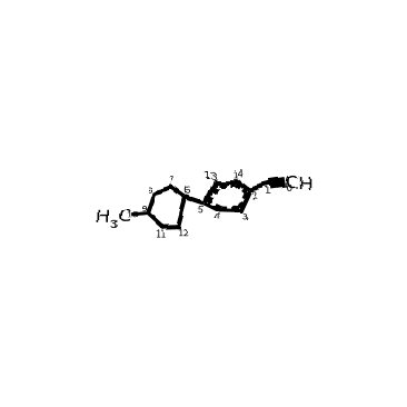 C#Cc1ccc(C2CCC(C)CC2)cc1